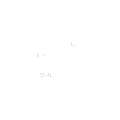 C=Cc1cc(-c2cccnc2)ccc1NC